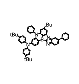 CC(C)(C)c1ccc(N(c2ccc(C(C)(C)C)cc2)c2ccc3c(c2)N(c2ccccc2)c2cc(C(C)(C)C)cc4c2B3c2nc3ccc(-c5ccccc5)cc3n2-4)cc1